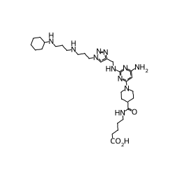 Nc1cc(N2CCC(C(=O)NCCCCC(=O)O)CC2)nc(NCc2cn(CCCNCCCNC3CCCCC3)nn2)n1